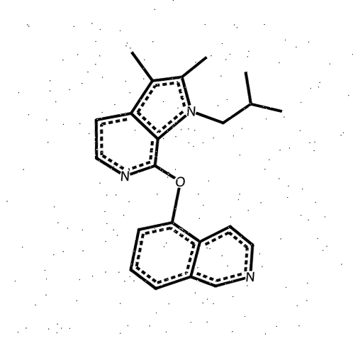 Cc1c(C)n(CC(C)C)c2c(Oc3cccc4cnccc34)nccc12